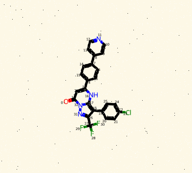 O=c1cc(-c2ccc(-c3ccncc3)cc2)[nH]c2c(-c3ccc(Cl)cc3)c(C(F)(F)F)nn12